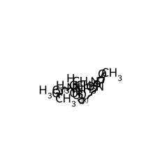 CC[C@H](CCNC(=O)[C@@H](NC(=O)OC1CCC[C@H]1CCCCCc1nc2ccc(OC)cc2nc1O)C(C)(C)C)CC(C)=O